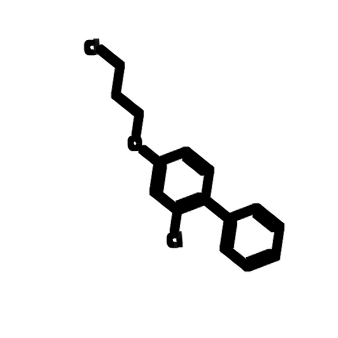 ClCCCOc1ccc(-c2ccccc2)c(Cl)c1